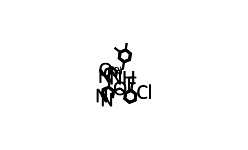 Cc1ccc(C[C@@H]2CON=C(c3cnncc3Oc3cccc(Cl)c3F)N2)cc1C